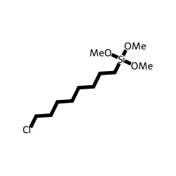 CO[Si](CCCCCCCCCl)(OC)OC